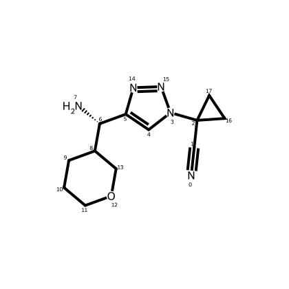 N#CC1(n2cc([C@@H](N)C3CCCOC3)nn2)CC1